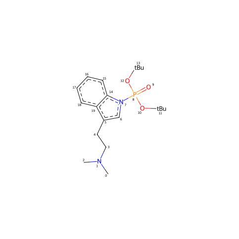 CN(C)CCc1cn(P(=O)(OC(C)(C)C)OC(C)(C)C)c2ccccc12